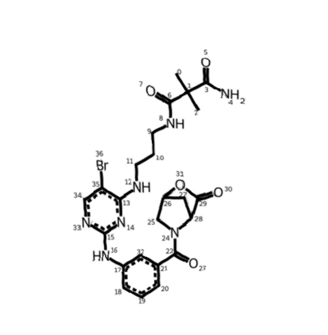 CC(C)(C(N)=O)C(=O)NCCCNc1nc(Nc2cccc(C(=O)N3CC4CC3C(=O)O4)c2)ncc1Br